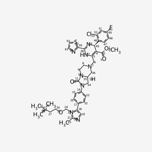 COC(=O)C1=C(CN2CCN3C(=O)N(c4ccc(-c5cnc(C)n5COCC[Si](C)(C)C)cc4)C[C@@H]3C2)NC(c2nccs2)=N[C@H]1c1ccc(F)cc1Cl